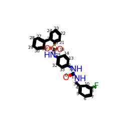 O=C(NCc1cccc(F)c1)Nc1ccc(NS(=O)(=O)c2ccccc2-c2ccccc2)cc1